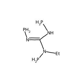 CCN(P)C(=NP)NP